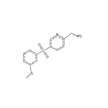 COc1cccc(S(=O)(=O)c2ccc(CN)nc2)c1